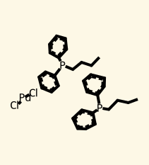 CCCCP(c1ccccc1)c1ccccc1.CCCCP(c1ccccc1)c1ccccc1.[Cl][Pd][Cl]